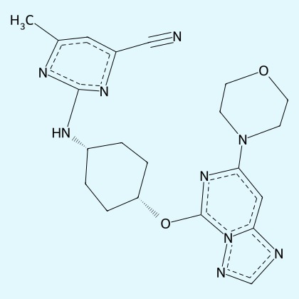 Cc1cc(C#N)nc(N[C@H]2CC[C@@H](Oc3nc(N4CCOCC4)cc4ncnn34)CC2)n1